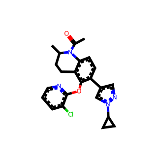 CC(=O)N1c2ccc(-c3cnn(C4CC4)c3)c(Oc3ncccc3Cl)c2CCC1C